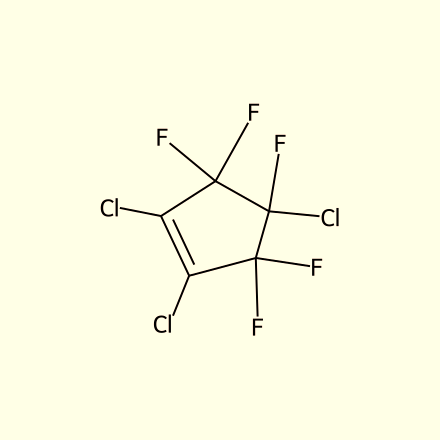 FC1(F)C(Cl)=C(Cl)C(F)(F)C1(F)Cl